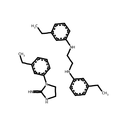 CCc1cccc(N2CCNC2=N)c1.CCc1cccc(NCCNc2cccc(CC)c2)c1